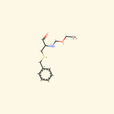 CCOCNC(C=O)CSCc1ccccc1